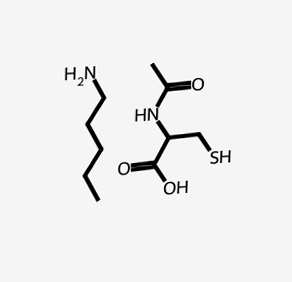 CC(=O)NC(CS)C(=O)O.CCCCCN